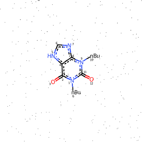 CCCCn1c(=O)c2[nH]cnc2n(CCCC)c1=O